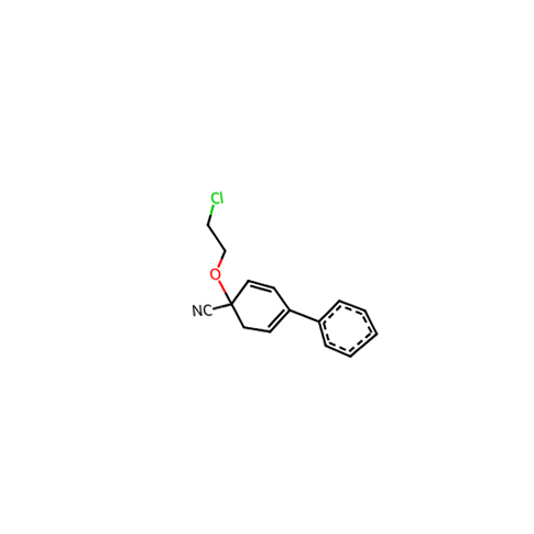 N#CC1(OCCCl)C=CC(c2ccccc2)=CC1